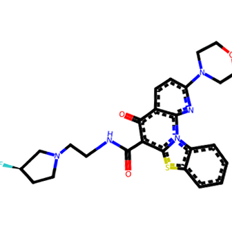 O=C(NCCN1CC[C@@H](F)C1)c1c(=O)c2ccc(N3CCOCC3)nc2n2c1sc1ccccc12